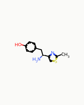 Cc1nc([C@@H](N)Cc2ccc(O)cc2)cs1